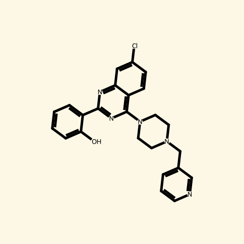 Oc1ccccc1-c1nc(N2CCN(Cc3cccnc3)CC2)c2ccc(Cl)cc2n1